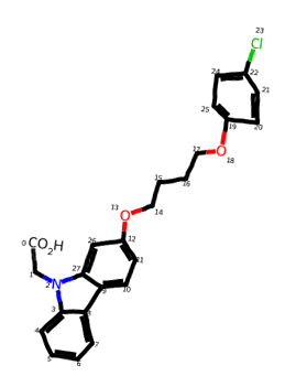 O=C(O)Cn1c2ccccc2c2ccc(OCCCCOc3ccc(Cl)cc3)cc21